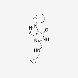 O=c1[nH]c(CNCC2CC2)nc2cnn(C3CCCCO3)c12